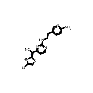 CCC1=CS/C(=C(/C#N)c2ccnc(NCCc3ccc(N)nc3)n2)N1